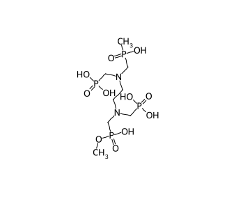 COP(=O)(O)CN(CCN(CP(C)(=O)O)CP(=O)(O)O)CP(=O)(O)O